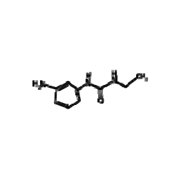 CCNC(=O)Nc1cccc(N)c1